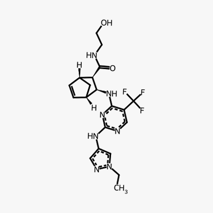 CCn1cc(Nc2ncc(C(F)(F)F)c(N[C@@H]3[C@H](C(=O)NCCO)[C@H]4C=C[C@@H]3C4)n2)cn1